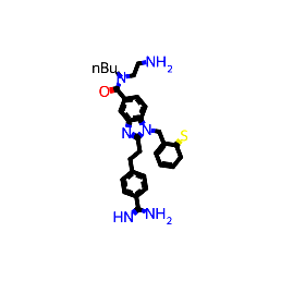 CCCCN(CCN)C(=O)c1ccc2c(c1)nc(CCc1ccc(C(=N)N)cc1)n2CC1=CC=CCC1=S